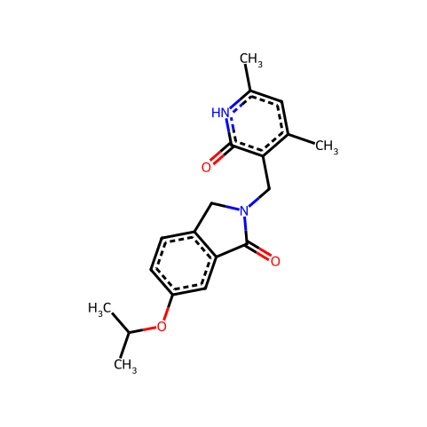 Cc1cc(C)c(CN2Cc3ccc(OC(C)C)cc3C2=O)c(=O)[nH]1